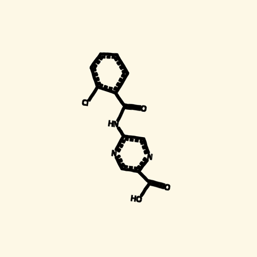 O=C(O)c1cnc(NC(=O)c2ccccc2Cl)cn1